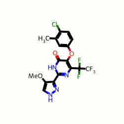 COc1c[nH]nc1-c1nc(C(F)(F)C(F)(F)F)c(Oc2ccc(Cl)c(C)c2)c(=O)[nH]1